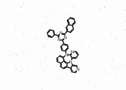 c1ccc(-c2nc(-c3ccc(-n4c5cccc6ccc7c8ccncc8n(c8cccnc84)c7c65)cc3)nc(-c3ccc4ccccc4c3)n2)cc1